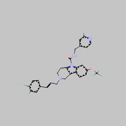 O=C(NCc1ccnc(F)c1)n1c2c(c3ccc(OC(F)(F)F)cc31)CN(C/C=C/c1ccc(F)c(F)c1)CC2